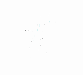 CC(F)C(F)(F)C(F)(F)C(F)(F)C(F)(F)C(F)(F)C(F)(F)S(=O)(=O)O.CNC